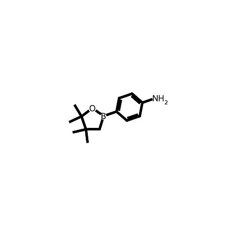 CC1(C)CB(c2ccc(N)cc2)OC1(C)C